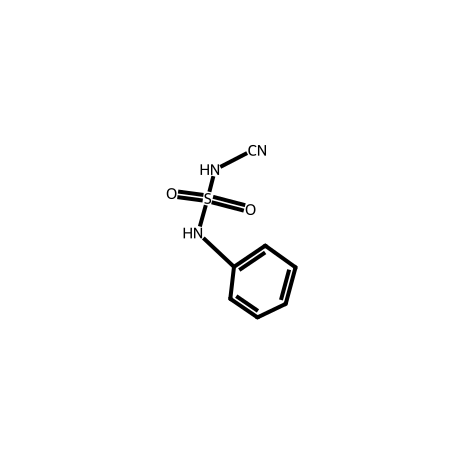 N#CNS(=O)(=O)Nc1ccccc1